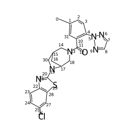 Cc1ccc(-n2nccn2)c(C(=O)N2CC3CC(C2)N(c2nc4ccc(Cl)cc4s2)C3)c1